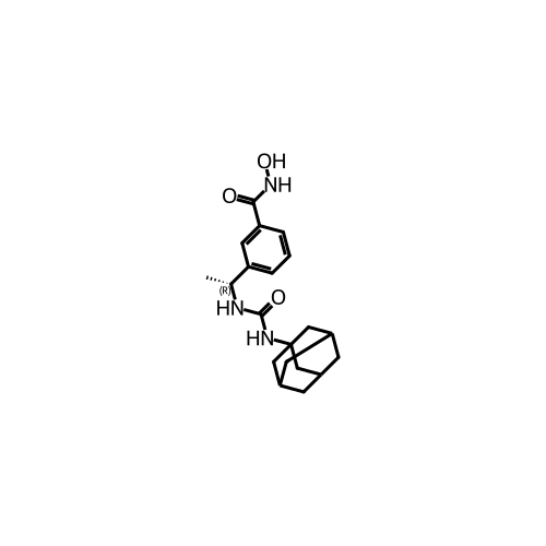 C[C@@H](NC(=O)NC12CC3CC(CC(C3)C1)C2)c1cccc(C(=O)NO)c1